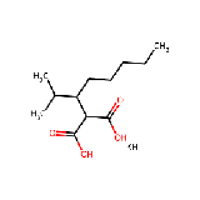 CCCCCC(C(C)C)C(C(=O)O)C(=O)O.[KH]